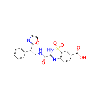 O=C(NCC(c1ccccc1)c1ncco1)C1=Nc2ccc(C(=O)O)cc2S(=O)(=O)N1